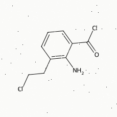 Nc1c(CCCl)cccc1C(=O)Cl